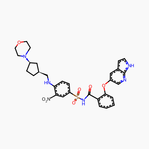 O=C(NS(=O)(=O)c1ccc(NC[C@H]2CC[C@@H](N3CCOCC3)C2)c([N+](=O)[O-])c1)c1ccccc1Oc1cnc2[nH]ccc2c1